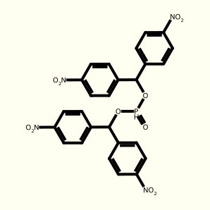 O=[N+]([O-])c1ccc(C(O[PH](=O)OC(c2ccc([N+](=O)[O-])cc2)c2ccc([N+](=O)[O-])cc2)c2ccc([N+](=O)[O-])cc2)cc1